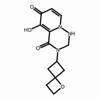 O=C1c2c(O)c(=O)ccn2NCN1C1CC2(CCO2)C1